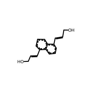 OC/C=C/c1cccc2c(/C=C/CO)cccc12